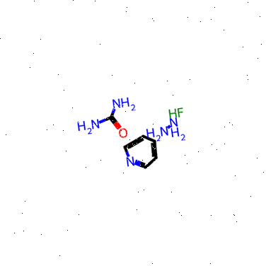 F.NC(N)=O.NN.c1ccncc1